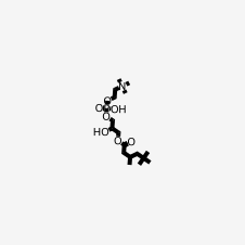 CC(CC(=O)OCC(O)COP(=O)(O)OCC[N+](C)(C)C)CC(C)(C)C